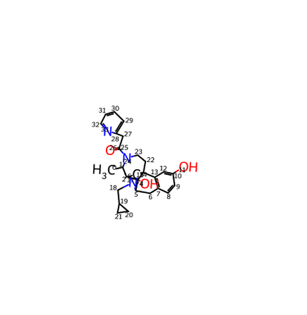 CC1CC2(O)C3Cc4ccc(O)cc4C2(CCN3CC2CC2)CCN1C(=O)Cc1ccccn1